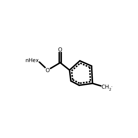 [CH2]c1ccc(C(=O)OCCCCCC)cc1